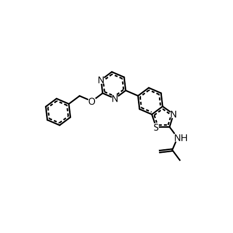 C=C(C)Nc1nc2ccc(-c3ccnc(OCc4ccccc4)n3)cc2s1